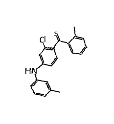 Cc1cccc(Nc2ccc(C(=S)c3ccccc3C)c(Cl)c2)c1